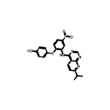 CC(C)c1ccc2c(Nc3cc([N+](=O)[O-])ccc3Sc3ccc(O)cc3)ncnc2n1